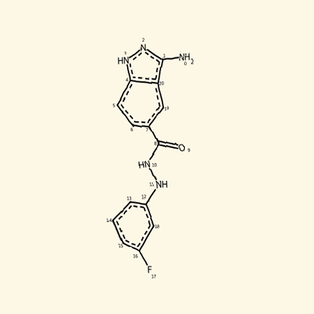 Nc1n[nH]c2ccc(C(=O)NNc3cccc(F)c3)cc12